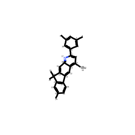 Cc1cc(C)cc(-c2cc(C(C)(C)C)c3cc4c(cc3n2)C(C)(C)c2cc(C)ccc2-4)c1